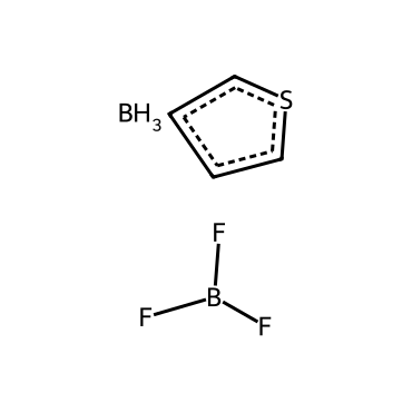 B.FB(F)F.c1ccsc1